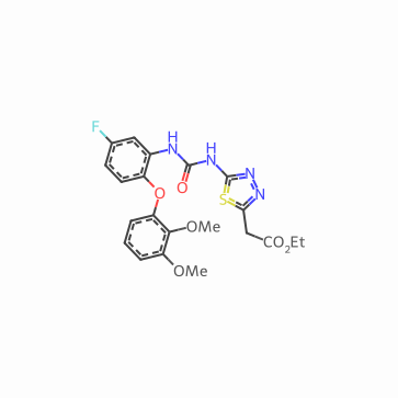 CCOC(=O)Cc1nnc(NC(=O)Nc2cc(F)ccc2Oc2cccc(OC)c2OC)s1